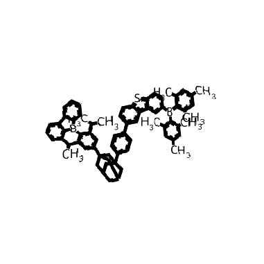 Cc1cc(C)c(B(c2ccc3sc4ccc(-c5ccc(C67CC8CC(C6)CC(c6cc(C(C)C)c9c(c6)C(C)c6cccc%10c6B9c6ccccc6-%10)(C8)C7)cc5)cc4c3c2)c2c(C)cc(C)cc2C)c(C)c1